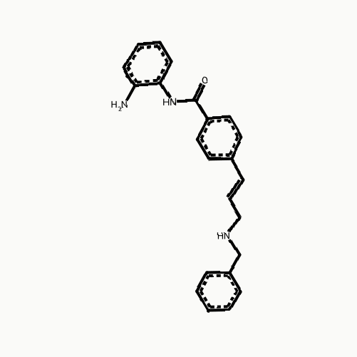 Nc1ccccc1NC(=O)c1ccc(C=CCNCc2ccccc2)cc1